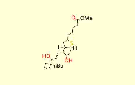 CCCCC1([C@H](O)/C=C/[C@@H]2[C@H]3CC(CCCCC(=O)OC)S[C@@H]3C[C@H]2O)CCC1